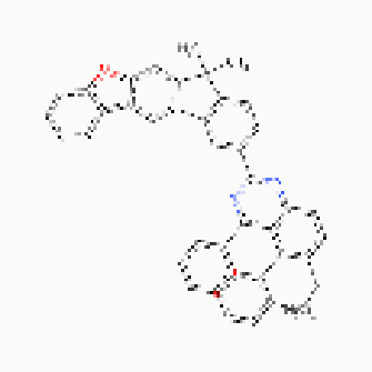 CCc1ccc2nc(-c3ccc4c(c3)-c3cc5c(cc3C4(C)C)oc3ccccc35)nc(-c3ccccc3)c2c1-c1ccccc1C